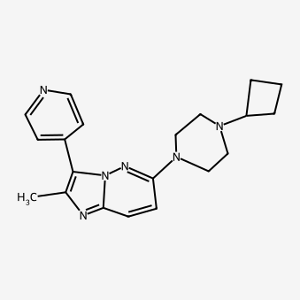 Cc1nc2ccc(N3CCN(C4CCC4)CC3)nn2c1-c1ccncc1